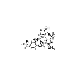 Cc1ccc(C(F)(F)F)cc1NC(=O)C1C2CC(O)C(O2)C1c1cn(C)nc1C(F)(F)F